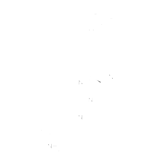 NC(=O)Oc1cccc2c(N[C@H](CN3CCC3)c3ccc(OC(F)(F)F)c(Cl)c3)ncnc12